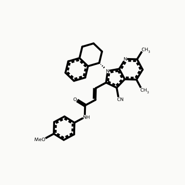 COc1ccc(NC(=O)C=Cc2c(C#N)c3c(C)cc(C)nc3n2[C@H]2CCCc3ccccc32)cc1